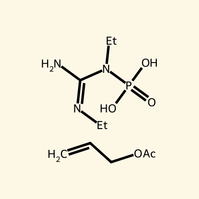 C=CCOC(C)=O.CCN=C(N)N(CC)P(=O)(O)O